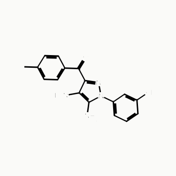 Cc1ccc(C(=O)c2nn(-c3cccc(Cl)c3)c(N)c2N)cc1